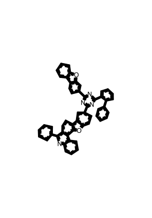 c1ccc(-c2ccccc2-c2nc(-c3ccc4c(c3)oc3ccccc34)nc(-c3ccc4oc5c(ccc6c(-c7ccccc7)nc7ccccc7c65)c4c3)n2)cc1